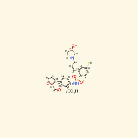 O=C(O)c1c(NS(=O)(=O)c2ccc(F)cc2/C=C\CN2CC[C@@H](O)C2)ccc2c1OCc1occc1-2